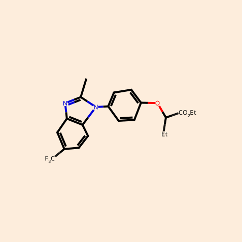 CCOC(=O)C(CC)Oc1ccc(-n2c(C)nc3cc(C(F)(F)F)ccc32)cc1